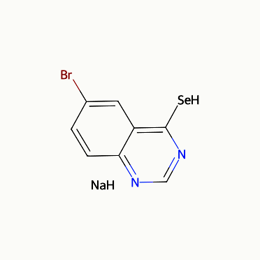 [NaH].[SeH]c1ncnc2ccc(Br)cc12